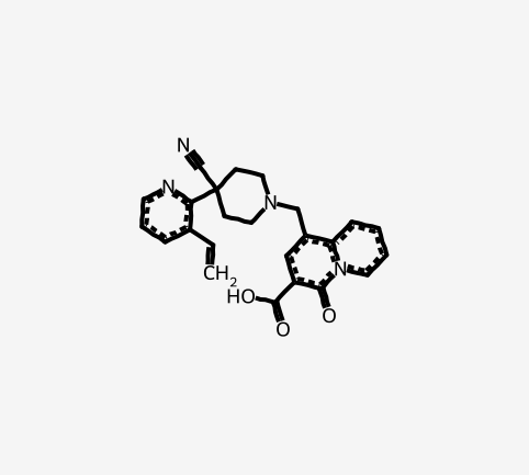 C=Cc1cccnc1C1(C#N)CCN(Cc2cc(C(=O)O)c(=O)n3ccccc23)CC1